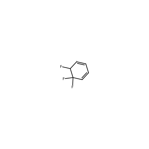 FC1[C]=CC=CC1(F)F